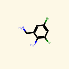 NCc1cc(Br)cc(Br)c1N